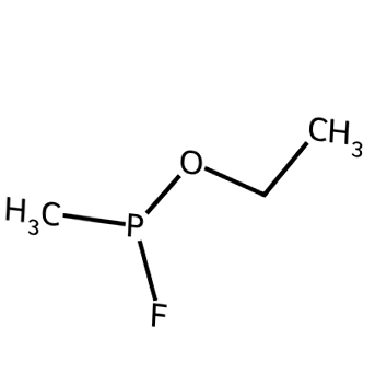 CCOP(C)F